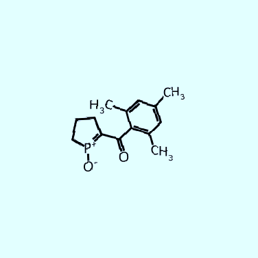 Cc1cc(C)c(C(=O)C2=[P+]([O-])CCC2)c(C)c1